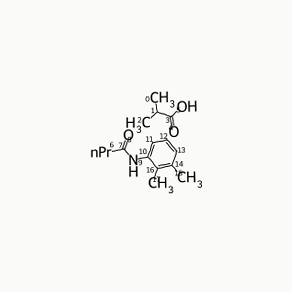 CC(C)C(=O)O.CCCC(=O)Nc1cccc(C)c1C